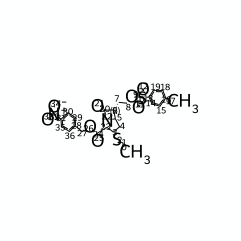 CCSC1CC2[C@@H](CCOS(=O)(=O)c3ccc(C)cc3)C(=O)N2C1C(=O)OCc1ccc([N+](=O)[O-])cc1